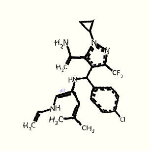 C=CN/C=C(\C=C(C)C)NC(c1ccc(Cl)cc1)c1c(C(F)(F)F)nn(C2CC2)c1C(=C)N